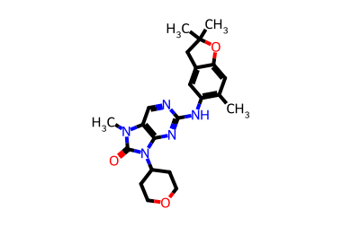 Cc1cc2c(cc1Nc1ncc3c(n1)n(C1CCOCC1)c(=O)n3C)CC(C)(C)O2